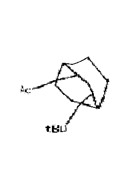 CC(=O)C1C2CCC(CC2)C1C(C)(C)C